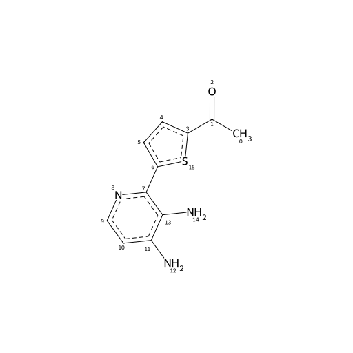 CC(=O)c1ccc(-c2nccc(N)c2N)s1